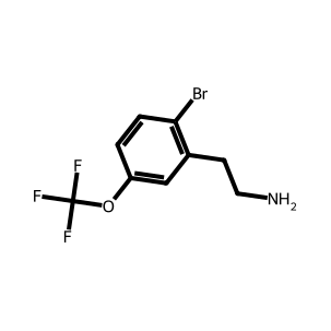 NCCc1cc(OC(F)(F)F)ccc1Br